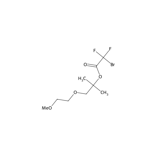 COCCOCC(C)(C)OC(=O)C(F)(F)Br